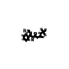 CC(CC(=O)N/C(=N/N)c1ccccn1)CC(C)(C)C